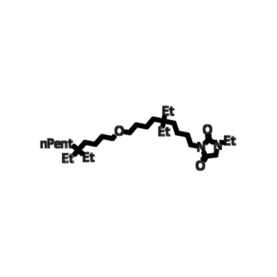 CCCCCC(CC)(CC)CCCCOCCCCC(CC)(CC)CCCCN1C(=O)CN(CC)C1=O